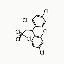 Clc1ccc(C(C[Si](Cl)(Cl)Cl)c2ccc(Cl)cc2Cl)c(Cl)c1